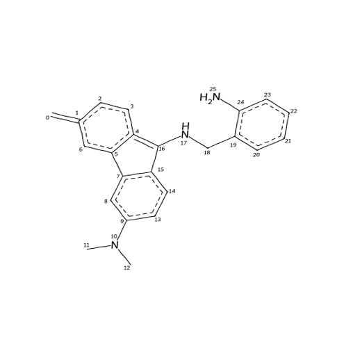 C=c1ccc2c(c1)-c1cc(N(C)C)ccc1C=2NCc1ccccc1N